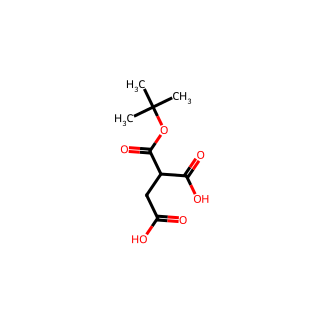 CC(C)(C)OC(=O)C(CC(=O)O)C(=O)O